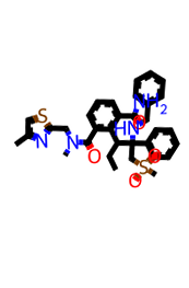 CCC(c1c(C(N)=O)cccc1C(=O)N(C)Cc1nc(C)cs1)C(CS(C)(=O)=O)(NCc1ccccc1)c1ccccc1